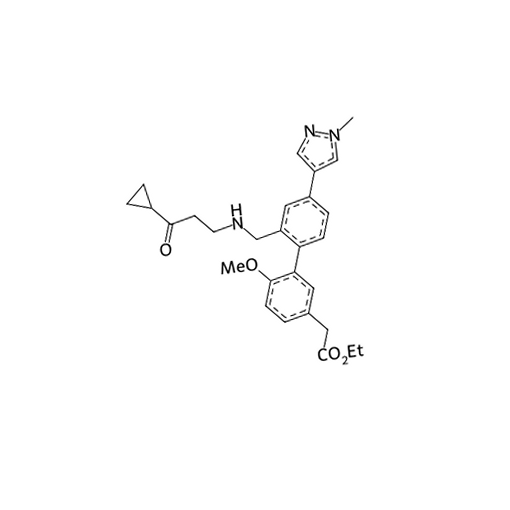 CCOC(=O)Cc1ccc(OC)c(-c2ccc(-c3cnn(C)c3)cc2CNCCC(=O)C2CC2)c1